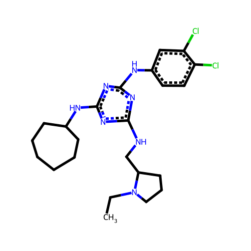 CCN1CCCC1CNc1nc(Nc2ccc(Cl)c(Cl)c2)nc(NC2CCCCCC2)n1